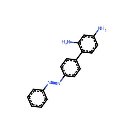 Nc1ccc(-c2ccc(N=Nc3ccccc3)cc2)c(N)c1